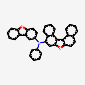 c1ccc(N(c2ccc3oc4ccccc4c3c2)c2cc3oc4ccc5ccccc5c4c3c3ccccc23)cc1